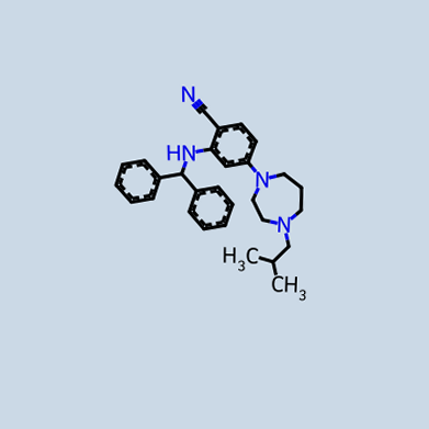 CC(C)CN1CCCN(c2ccc(C#N)c(NC(c3ccccc3)c3ccccc3)c2)CC1